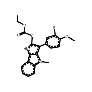 CCOC(=O)Oc1[nH]c2c3ccccc3n(C)c2c1-c1ccc(OC)c(F)c1